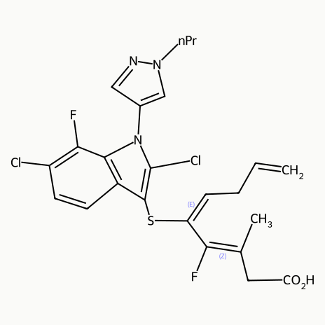 C=CC/C=C(Sc1c(Cl)n(-c2cnn(CCC)c2)c2c(F)c(Cl)ccc12)\C(F)=C(/C)CC(=O)O